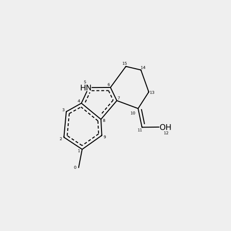 Cc1ccc2[nH]c3c(c2c1)/C(=C/O)CCC3